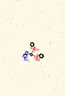 Nc1ncc2ncn([C@@H]3C[C@H](COP(=O)(O)Oc4ccccc4F)[C@H]3COP(=O)(O)Oc3ccccc3F)c2n1